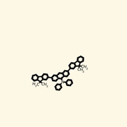 CC1(C)c2ccccc2-c2ccc(-c3ccc4c(N(c5ccccc5)c5ccccc5)c5ccc(-c6ccc7c(c6)C(C)(C)c6ccccc6-7)cc5cc4c3)cc21